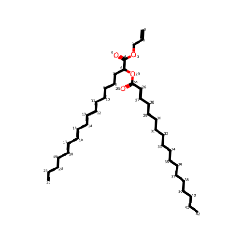 C=CCOC(=O)C(CCCCCCCCCCCCCCCC)OC(=O)CCCCCCCCCCCCCCCCC